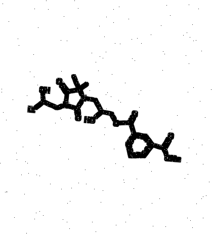 CCC(O)CN1C(=O)N(CC(O)COC(=O)c2cccc(C(=O)OC)c2)C(C)(C)C1=O